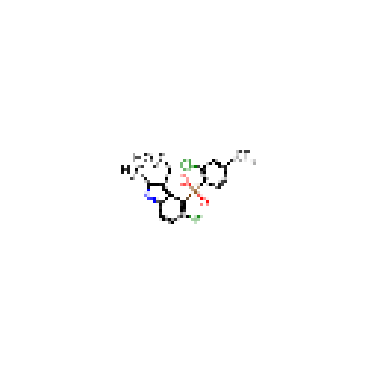 CC1N=c2ccc(F)c(S(=O)(=O)c3ccc(C(F)(F)F)cc3Cl)c2=C1CC(=O)O